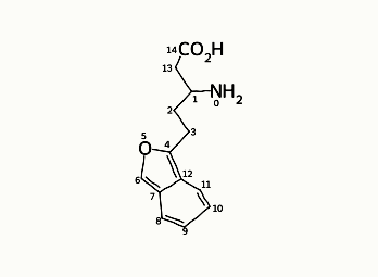 NC(CCc1occ2ccccc12)CC(=O)O